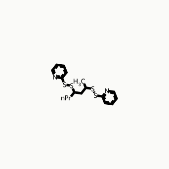 CCCC(CC(C)SSc1ccccn1)SSc1ccccn1